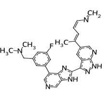 C=N/C=C\C=C(/C)c1cnc2[nH]nc(-c3nc4c(-c5cc(F)cc(CN(C)C)c5)cncc4[nH]3)c2c1